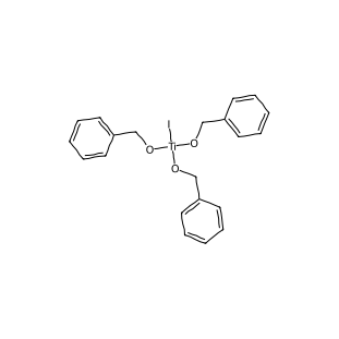 [I][Ti]([O]Cc1ccccc1)([O]Cc1ccccc1)[O]Cc1ccccc1